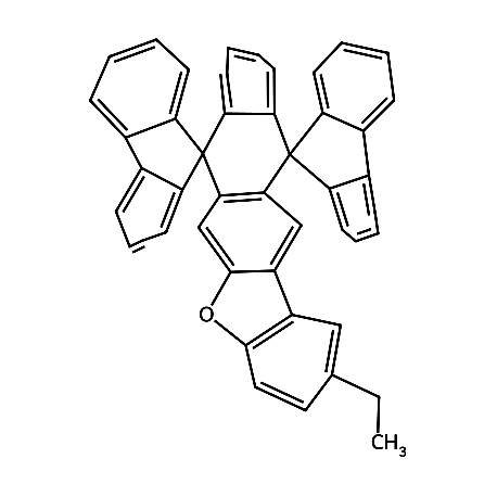 CCc1ccc2oc3cc4c(cc3c2c1)C1(c2ccccc2-c2ccccc21)c1ccccc1C41c2ccccc2-c2ccccc21